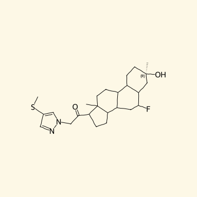 CSc1cnn(CC(=O)C2CCC3C4CC(F)C5C[C@](C)(O)CCC5C4CCC23C)c1